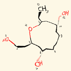 C[C@@H]1O[C@H](CO)[C@@H](O)CC[C@H]1O